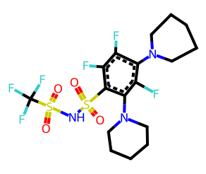 O=S(=O)(NS(=O)(=O)C(F)(F)F)c1c(F)c(F)c(N2CCCCC2)c(F)c1N1CCCCC1